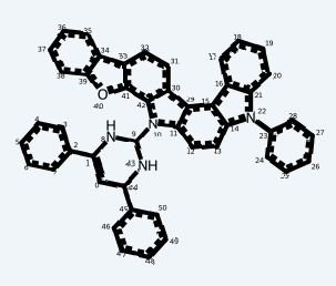 C1=C(c2ccccc2)NC(n2c3ccc4c(c5ccccc5n4-c4ccccc4)c3c3ccc4c5ccccc5oc4c32)NC1c1ccccc1